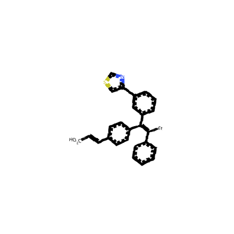 CCC(=C(c1ccc(C=CC(=O)O)cc1)c1cccc(-c2cscn2)c1)c1ccccc1